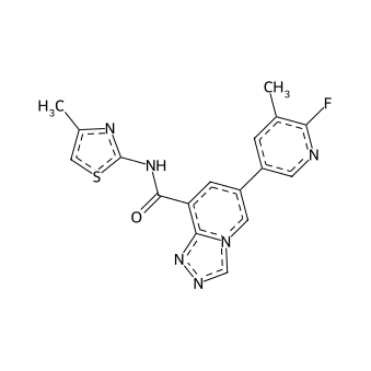 Cc1csc(NC(=O)c2cc(-c3cnc(F)c(C)c3)cn3cnnc23)n1